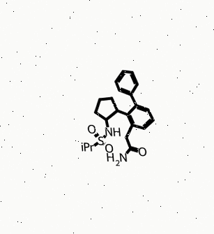 CC(C)S(=O)(=O)NC1CCCC1c1c(CC(N)=O)cccc1-c1ccccc1